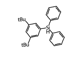 CC(C)(C)c1cc([SiH](c2ccccc2)c2ccccc2)cc(C(C)(C)C)c1